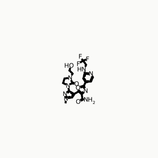 Cn1cc(-c2oc(-c3ccnc(NCC(F)(F)F)c3)nc2C(N)=O)c(N2CCN(CCO)C2=O)n1